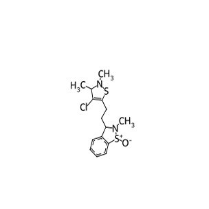 CC1C(Cl)=C(CCC2c3ccccc3[S+]([O-])N2C)SN1C